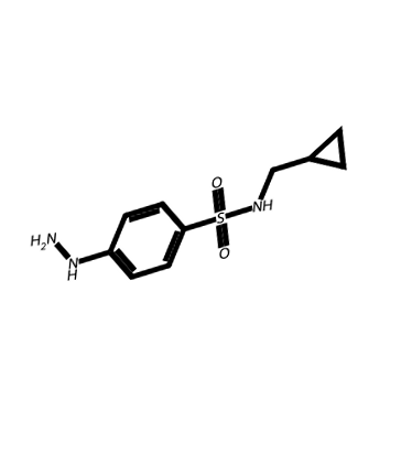 NNc1ccc(S(=O)(=O)NCC2CC2)cc1